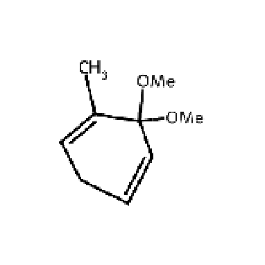 COC1(OC)C=CCC=C1C